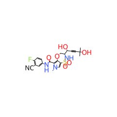 Cn1cc2c(c1C(=O)Nc1ccc(F)c(C#N)c1)OCC(C(O)C#CC(C)(C)O)NS2(=O)=O